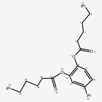 CC(C)CCCCC(=O)Oc1ccc(C(C)C)cc1OC(=O)CCCCC(C)C